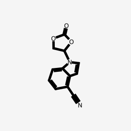 N#Cc1cccc2c1ccn2C1COC(=O)O1